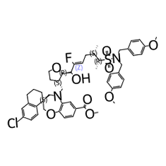 COC(=O)c1ccc2c(c1)N(C[C@@H]1CCO[C@H]1C(O)/C(F)=C/C[C@H](C)[C@@H](C)S(=O)(=O)N(Cc1ccc(OC)cc1)Cc1ccc(OC)cc1)C[C@@]1(CCCc3cc(Cl)ccc31)CO2